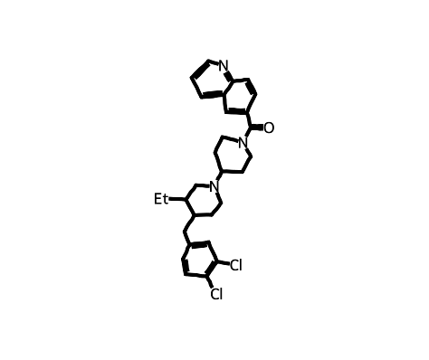 CCC1CN(C2CCN(C(=O)c3ccc4ncccc4c3)CC2)CCC1Cc1ccc(Cl)c(Cl)c1